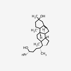 CCC[C@H](O)CC[C@@H](C)[C@H]1CC[C@H]2[C@@H]3CC=C4C[C@@](C)(O)CC[C@]4(C)[C@H]3CC[C@]12C